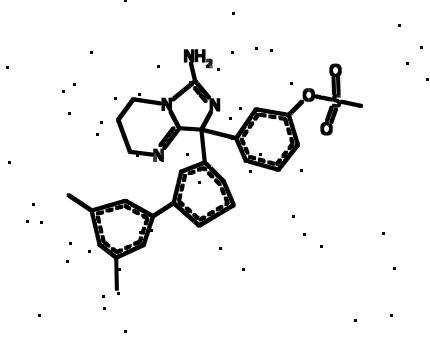 Cc1cc(C)cc(-c2cccc(C3(c4cccc(OS(C)(=O)=O)c4)N=C(N)N4CCCN=C43)c2)c1